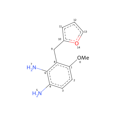 COc1ccc(N)c(N)c1Cc1ccco1